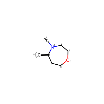 C=C1CCOCCN1C(C)C